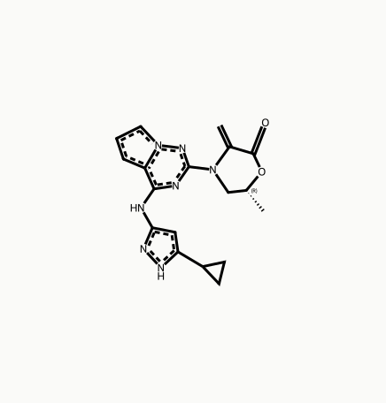 C=C1C(=O)O[C@H](C)CN1c1nc(Nc2cc(C3CC3)[nH]n2)c2cccn2n1